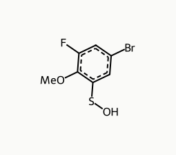 COc1c(F)cc(Br)cc1SO